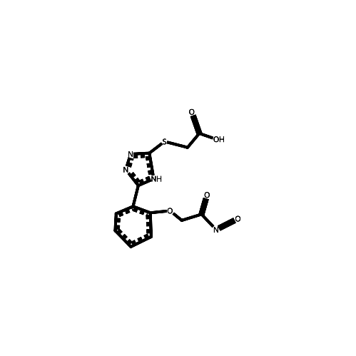 O=NC(=O)COc1ccccc1-c1nnc(SCC(=O)O)[nH]1